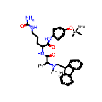 CC(C)C(C(=O)NC(CCCNC(N)=O)C(=O)Nc1ccc(O[Si](C)(C)C(C)(C)C)cc1)N(CC1c2ccccc2-c2ccccc21)C(=O)O